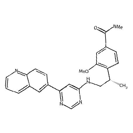 CNC(=O)c1ccc([C@H](C)CNc2cc(-c3ccc4ncccc4c3)ncn2)c(OC)c1